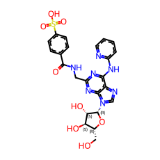 O=C(NCc1nc(Nc2ccccn2)c2ncn([C@@H]3O[C@H](CO)[C@@H](O)[C@@H]3O)c2n1)c1ccc(S(=O)(=O)O)cc1